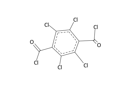 O=C(Cl)c1c(Cl)c(Cl)c(C(=O)Cl)c(Cl)c1Cl